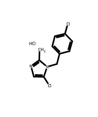 Cc1ncc(Cl)n1Cc1ccc(Cl)cc1.Cl